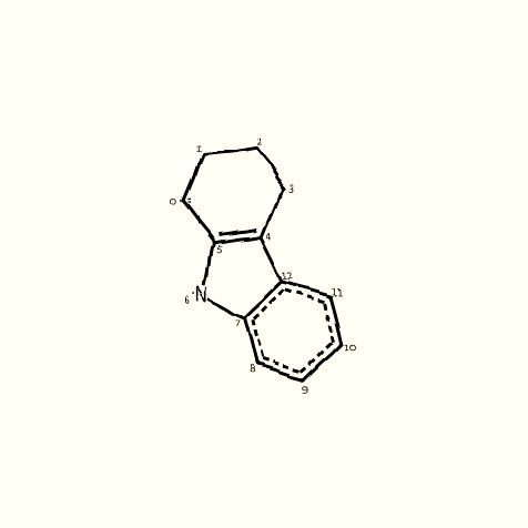 [C]1CCCC2=C1[N]c1ccccc12